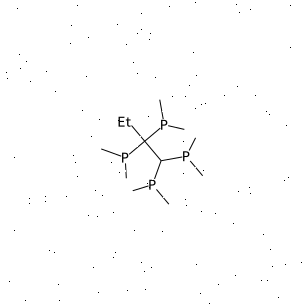 CCC(C(P(C)C)P(C)C)(P(C)C)P(C)C